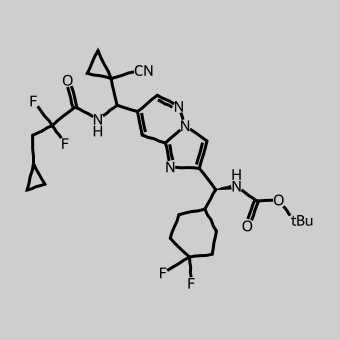 CC(C)(C)OC(=O)N[C@H](c1cn2ncc(C(NC(=O)C(F)(F)CC3CC3)C3(C#N)CC3)cc2n1)C1CCC(F)(F)CC1